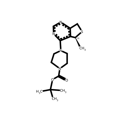 C[C@@H]1SCc2ncnc(N3CCN(C(=O)OC(C)(C)C)CC3)c21